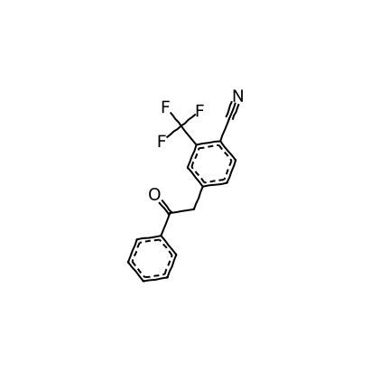 N#Cc1ccc(CC(=O)c2ccccc2)cc1C(F)(F)F